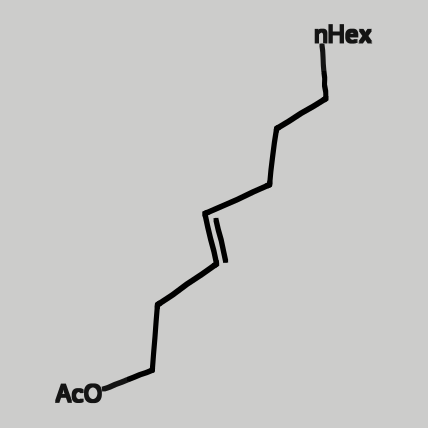 CCCCCCCCCC=CCCOC(C)=O